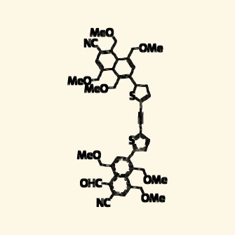 COCC1=CC(C2CC=C(C#Cc3ccc(-c4cc(COC)c5c(C=O)c(C#N)cc(COC)c5c4COC)s3)S2)=C(COC)C2C(COC)=CC(C#N)=C(COC)C12